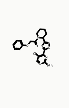 Nc1ncc(Cl)c(-c2nc(C3CCCCN3C(=O)COc3ccccc3)no2)n1